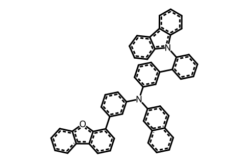 c1cc(-c2ccccc2-n2c3ccccc3c3ccccc32)cc(N(c2cccc(-c3cccc4c3oc3ccccc34)c2)c2ccc3ccccc3c2)c1